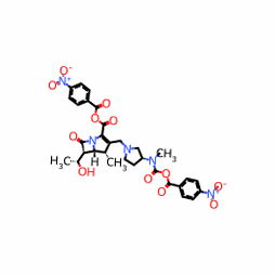 C[C@@H](O)[C@H]1C(=O)N2C(C(=O)OC(=O)c3ccc([N+](=O)[O-])cc3)=C(CN3CC[C@H](N(C)C(=O)OC(=O)c4ccc([N+](=O)[O-])cc4)C3)[C@H](C)[C@H]12